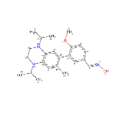 COc1ccc(/C=N/O)cc1-c1cc2c(cc1C)N(C(C)C)CCN2C(C)C